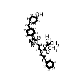 CC(C)(C)OC(=O)N(CCOc1ccccc1)CCn1nnn(-c2ccc(CN3CCC(O)CC3)cc2)c1=O